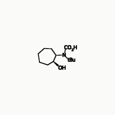 CC(C)(C)N(C(=O)O)C1CCCCC[C@@H]1O